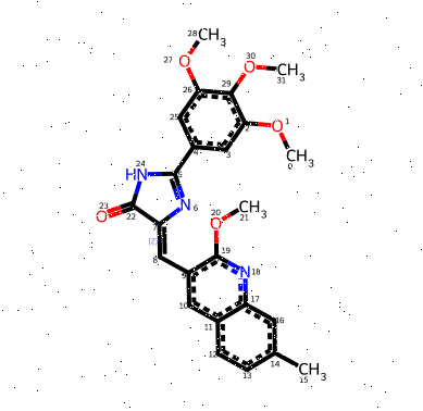 COc1cc(C2=N/C(=C\c3cc4ccc(C)cc4nc3OC)C(=O)N2)cc(OC)c1OC